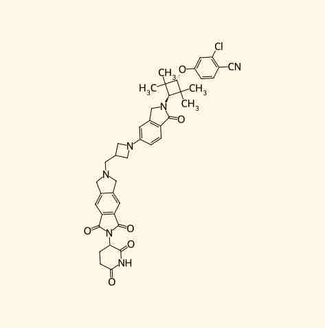 CC1(C)[C@H](Oc2ccc(C#N)c(Cl)c2)C(C)(C)[C@H]1N1Cc2cc(N3CC(CN4Cc5cc6c(cc5C4)C(=O)N(C4CCC(=O)NC4=O)C6=O)C3)ccc2C1=O